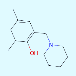 CC1=CC(CN2CCCCC2)=C(O)C(C)C1